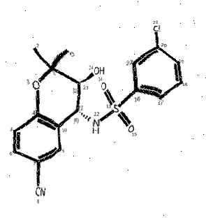 CC1(C)Oc2ccc(C#N)cc2[C@@H](NS(=O)(=O)c2cccc(Cl)c2)[C@@H]1O